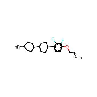 C=CCOc1ccc(C2CCC(C3CCC(CCC)CC3)CC2)c(F)c1F